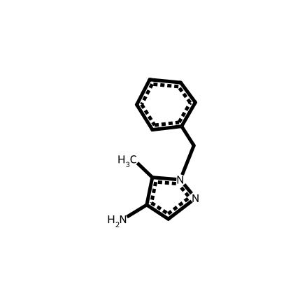 Cc1c(N)cnn1Cc1ccccc1